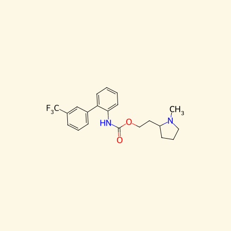 CN1CCCC1CCOC(=O)Nc1ccccc1-c1cccc(C(F)(F)F)c1